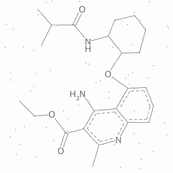 CCOC(=O)c1c(C)nc2cccc(OC3CCCCC3NC(=O)C(C)C)c2c1N